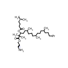 CC(C)CCCC(C)CCCC(C)CCCC(C)CCC(OC(=O)CCCN(C)C)C(C)(C)C(=O)OC/C=C/N